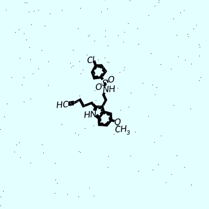 C#CCCCc1[nH]c2ccc(OC)cc2c1CCNS(=O)(=O)c1ccc(Cl)cc1